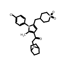 Cc1c(C(=O)CN2C3CCC2CC3)cc(CC2CCS(=O)(=O)CC2)n1-c1ccc(Cl)cc1